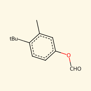 Cc1cc(OC=O)ccc1C(C)(C)C